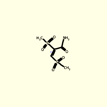 CS(=O)(=O)/C=C(\C(N)=O)S(C)(=O)=O